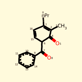 CCCC1=C(C)C(=O)C(C(=O)c2ccccc2)C=C1